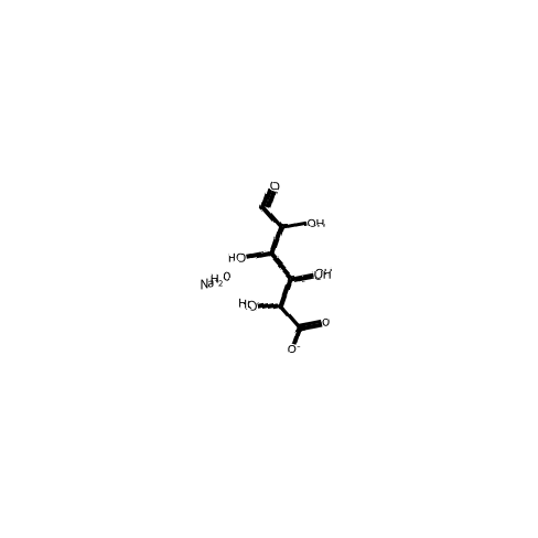 O.O=CC(O)C(O)C(O)C(O)C(=O)[O-].[Na+]